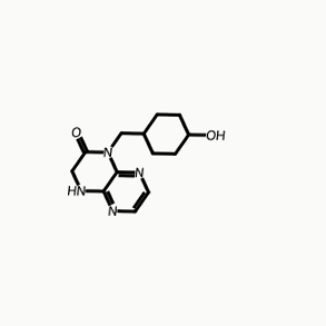 O=C1CNc2nccnc2N1CC1CCC(O)CC1